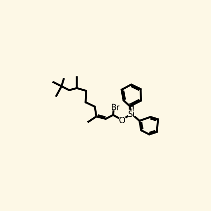 CC(=CC(Br)O[SiH](c1ccccc1)c1ccccc1)CCCC(C)CC(C)(C)C